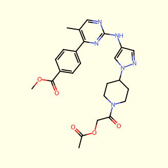 COC(=O)c1ccc(-c2nc(Nc3cnn(C4CCN(C(=O)COC(C)=O)CC4)c3)ncc2C)cc1